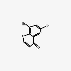 O=c1ccoc2c(Br)cc(Br)cc12